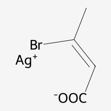 C/C(Br)=C/C(=O)[O-].[Ag+]